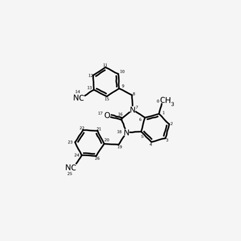 Cc1cccc2c1n(Cc1cccc(C#N)c1)c(=O)n2Cc1cccc(C#N)c1